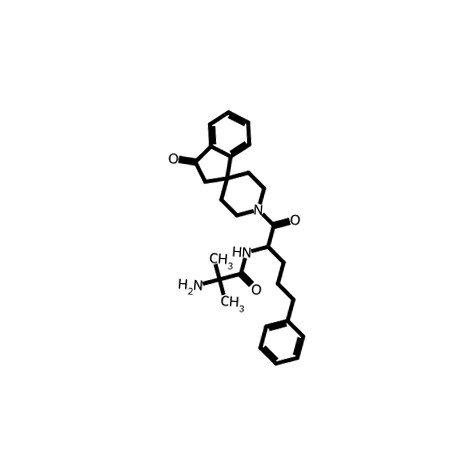 CC(C)(N)C(=O)NC(CCCc1ccccc1)C(=O)N1CCC2(CC1)CC(=O)c1ccccc12